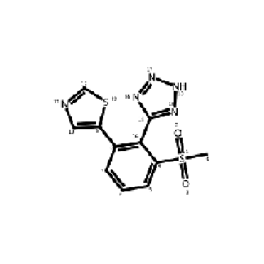 CS(=O)(=O)c1cccc(-c2cncs2)c1-c1nn[nH]n1